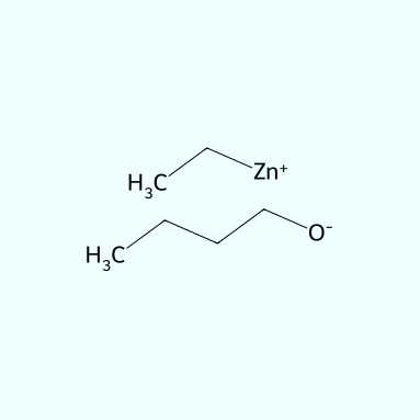 CCCC[O-].C[CH2][Zn+]